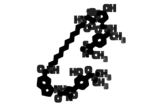 Cc1ncsc1-c1ccc([C@H](C)NC(=O)[C@@H]2C[C@@H](O)CN2C(=O)[C@@H](NC(=O)CCCCCCCCCCCNC(=O)c2ccc3c(c2)[C@H](NC(=O)c2cc(-c4ccc(C(=O)N(C)C)c(O)c4)on2)CC3)C(C)(C)C)cc1